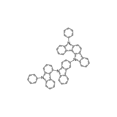 c1ccc(-n2c3ccccc3c3c(-n4c5ccccc5c5cc(-n6c7ccccc7c7ccc8c(c9ccccc9n8-c8ccccc8)c76)ccc54)cccc32)cc1